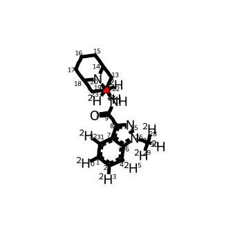 [2H]c1c([2H])c([2H])c2c(c(C(=O)NC3CC4CCCC(C3)N4C([2H])([2H])[2H])nn2C([2H])([2H])[2H])c1[2H]